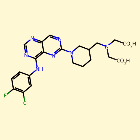 O=C(O)CN(CC(=O)O)CC1CCCN(c2ncc3ncnc(Nc4ccc(F)c(Cl)c4)c3n2)C1